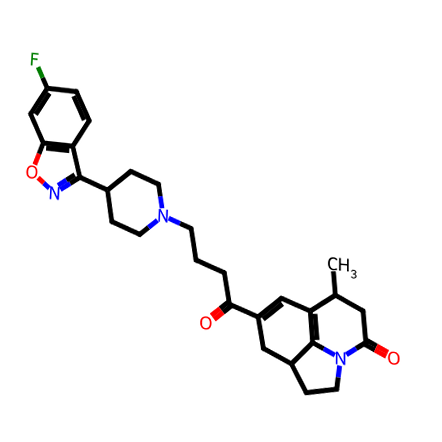 CC1CC(=O)N2CCC3CC(C(=O)CCCN4CCC(c5noc6cc(F)ccc56)CC4)=CC1=C32